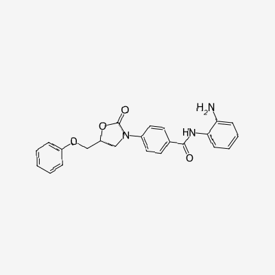 Nc1ccccc1NC(=O)c1ccc(N2CC(COc3ccccc3)OC2=O)cc1